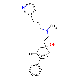 CN(CCCc1cccnc1)CC[C@]1(O)C[C@H]2CCC1C=C2c1ccccc1